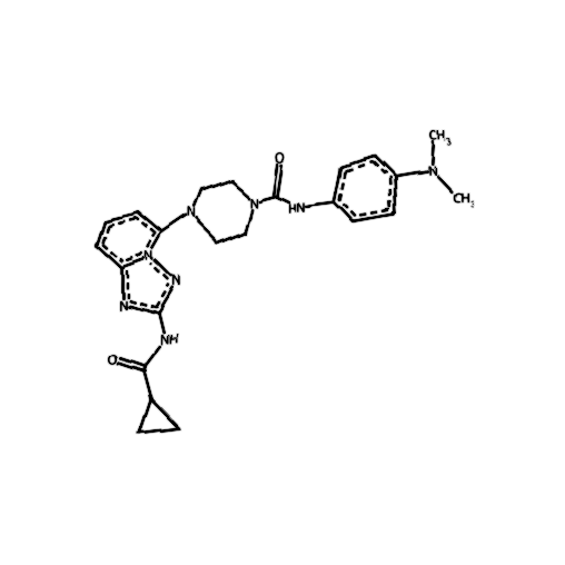 CN(C)c1ccc(NC(=O)N2CCN(c3cccc4nc(NC(=O)C5CC5)nn34)CC2)cc1